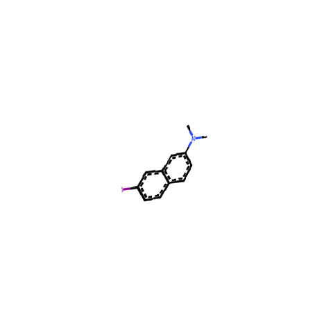 CN(C)c1ccc2ccc(I)cc2c1